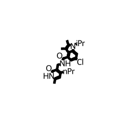 CCCc1cc(C)[nH]c(=O)c1CNC(=O)c1cc(Cl)cc2c1c(C)c(C)n2C(C)C